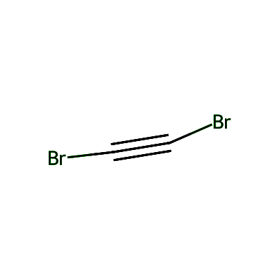 BrC#CBr